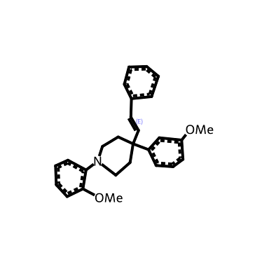 COc1cccc(C2(/C=C/c3ccccc3)CCN(c3ccccc3OC)CC2)c1